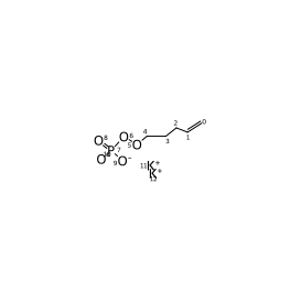 C=CCCCOOP(=O)([O-])[O-].[K+].[K+]